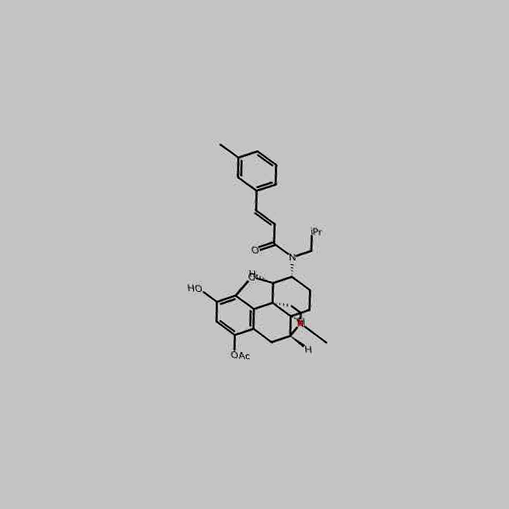 CC(=O)Oc1cc(O)c2c3c1C[C@@H]1[C@@H]4CC[C@@H](N(CC(C)C)C(=O)C=Cc5cccc(C)c5)[C@H](O2)[C@]34CCN1C